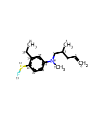 C=CCC(C)CN(C)c1ccc(SF)c(CC)c1